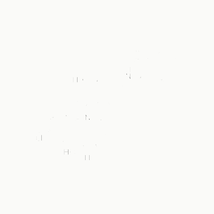 [2H]C1(O)CCCN(C(=O)c2ccc(NC(=O)c3ccccc3C)cc2C)c2ccc(Cl)cc21